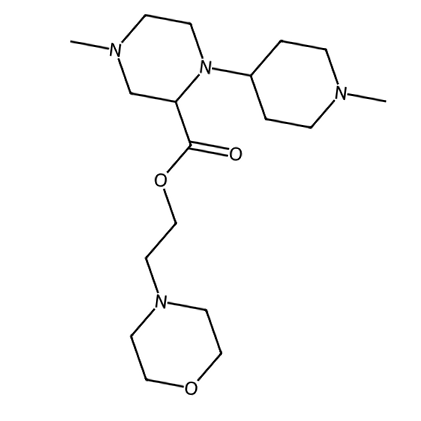 CN1CCC(N2CCN(C)CC2C(=O)OCCN2CCOCC2)CC1